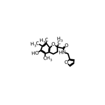 Cc1c(C)c2c(c(C)c1O)CCC(C)(C(=O)NCc1ccco1)O2